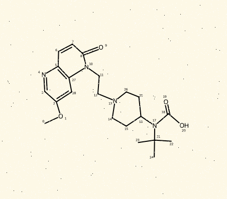 COc1cnc2ccc(=O)n(CCN3CCC(N(C(=O)O)C(C)(C)C)CC3)c2c1